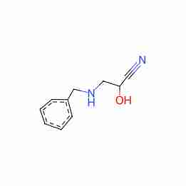 N#CC(O)CNCc1ccccc1